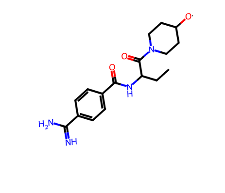 CCC(NC(=O)c1ccc(C(=N)N)cc1)C(=O)N1CCC([O])CC1